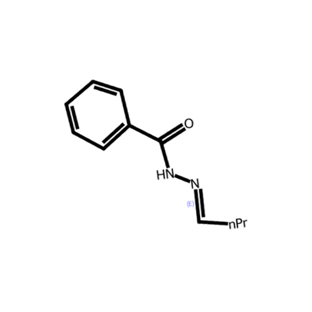 CCC/C=N/NC(=O)c1ccccc1